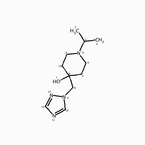 CC(C)N1CCC(O)(Cn2cncn2)CC1